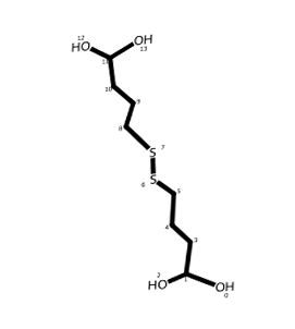 OC(O)CCCSSCCCC(O)O